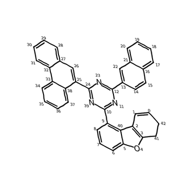 C1=Cc2c(oc3cccc(-c4nc(-c5ccc6ccccc6c5)nc(-c5cc6ccccc6c6ccccc56)n4)c23)CC1